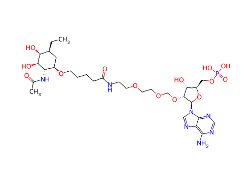 CC[C@H]1C[C@@H](OCCCCC(=O)NCCOCCOCO[C@@H]2[C@H](O)[C@@H](COP(=O)(O)O)O[C@H]2n2cnc3c(N)ncnc32)[C@H](NC(C)=O)[C@@H](O)[C@H]1O